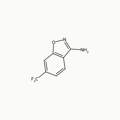 Nc1noc2cc(C(F)(F)F)ccc12